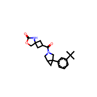 CC(C)(C)c1cccc(C23CC2CN(C(=O)C2CC4(COC(=O)N4)C2)C3)c1